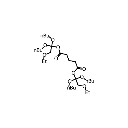 CCCCOC(COCC)(OCCCC)OC(=O)CCCC(=O)OC(COCC)(OCCCC)OCCCC